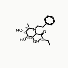 CCNC(=O)C1[C@@H](O)[C@@H](O)[C@H](O)[C@@H](C)N1CCc1ccccc1